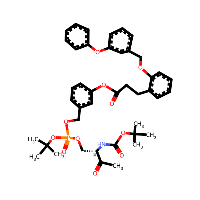 CC(=O)[C@H](COP(=O)(OCc1cccc(OC(=O)CCc2ccccc2OCc2cccc(Oc3ccccc3)c2)c1)OC(C)(C)C)NC(=O)OC(C)(C)C